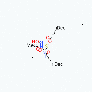 CCCCCCCCCCCCCCCC(=O)N[C@H](CSCCOC(=O)CCCCCCCCCCCCCCC)C(=O)N[C@@H](CO)C(=O)OC